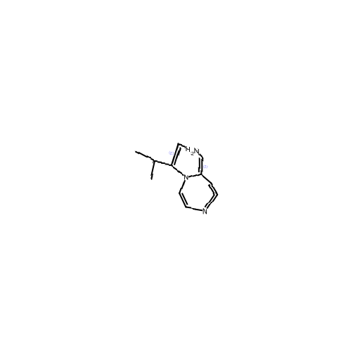 C/C=C(/C(C)C)N1C=CN=C=C/C1=C/N